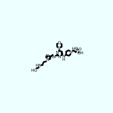 O=P(O)(O)CCN1CCC(Nc2cc(N3CCOCC3)nc(NCc3cn(CCCNCCO)nn3)n2)CC1